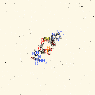 Nc1nc2c(ncn2[C@@H]2O[C@@H]3COP(=O)(S)O[C@@H]4[C@H](F)[C@@H](CO[PH](=O)O[C@H]3[C@H]2F)O[C@H]4n2cnc3c(N)ncnc32)c(=O)[nH]1